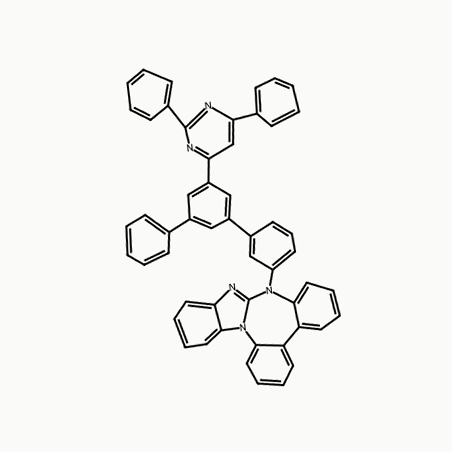 c1ccc(-c2cc(-c3cccc(N4c5ccccc5-c5ccccc5-n5c4nc4ccccc45)c3)cc(-c3cc(-c4ccccc4)nc(-c4ccccc4)n3)c2)cc1